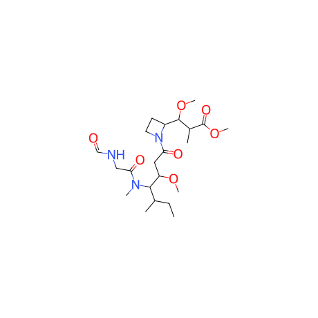 CCC(C)C(C(CC(=O)N1CCC1C(OC)C(C)C(=O)OC)OC)N(C)C(=O)CNC=O